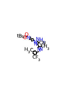 Cc1cc(Cn2cc(-c3nn(C4CC5(C4)CN(C(=O)OC(C)(C)C)C5)c(N)c3C#N)c(C)n2)cc(C(F)(F)F)c1